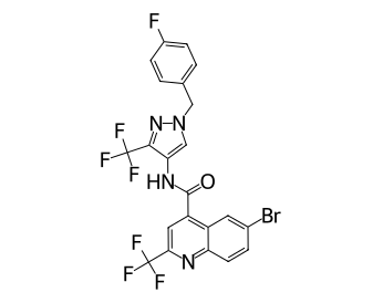 O=C(Nc1cn(Cc2ccc(F)cc2)nc1C(F)(F)F)c1cc(C(F)(F)F)nc2ccc(Br)cc12